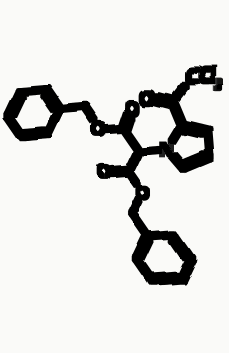 O=C(OCc1ccccc1)C(C(=O)OCc1ccccc1)n1cccc1C(=O)C(Cl)(Cl)Cl